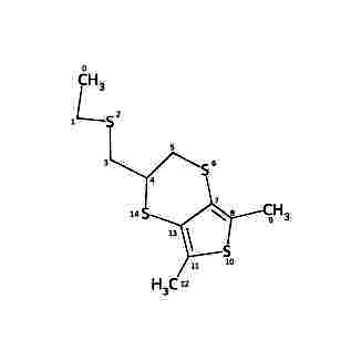 CCSCC1CSc2c(C)sc(C)c2S1